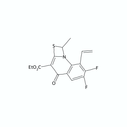 C=Cc1c(F)c(F)cc2c(=O)c(C(=O)OCC)c3n(c12)C(C)S3